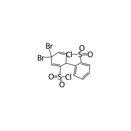 O=S(=O)(Cl)C1=CC(Br)(Br)C=CC1c1ccccc1S(=O)(=O)Cl